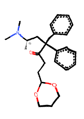 C[C@@H](CC(C(=O)CCC1OCCCO1)(c1ccccc1)c1ccccc1)N(C)C